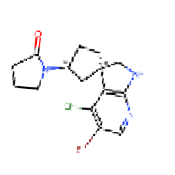 O=C1CCCN1[C@H]1CC[C@@]2(CNc3ncc(Br)c(Cl)c32)C1